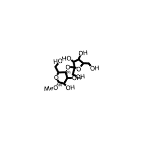 CO[C@@H]1OC(CO)[C@H](OC2(CO)OC(CO)C(O)C2O)C(O)C1O